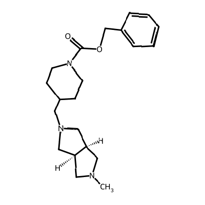 CN1C[C@@H]2CN(CC3CCN(C(=O)OCc4ccccc4)CC3)C[C@@H]2C1